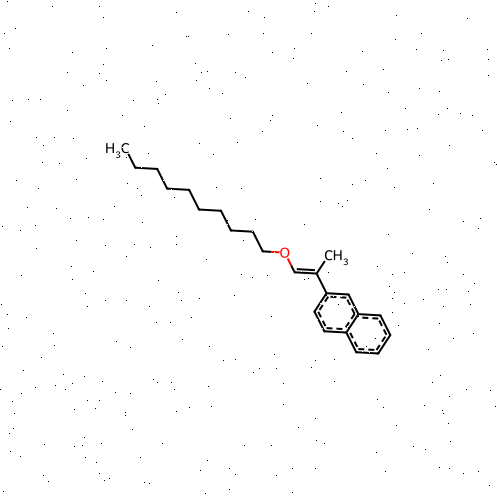 CCCCCCCCCCO/C=C(\C)c1ccc2ccccc2c1